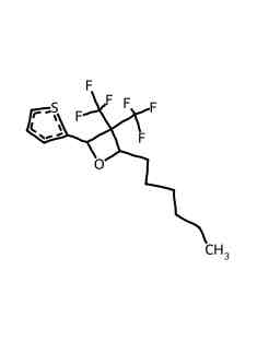 CCCCCCC1OC(c2cccs2)C1(C(F)(F)F)C(F)(F)F